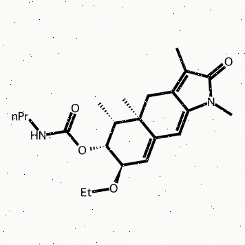 CCCNC(=O)O[C@H]1[C@H](OCC)C=C2C=C3C(=C(C)C(=O)N3C)C[C@]2(C)[C@H]1C